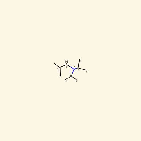 C=C(C)BN(C(C)C)C(C)C